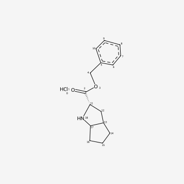 Cl.O=C(OCc1ccccc1)[C@@H]1CC2CCCC2N1